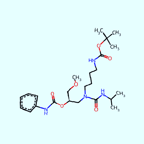 COC[C@@H](CN(CCCCNC(=O)OC(C)(C)C)C(=O)NC(C)C)OC(=O)Nc1ccccc1